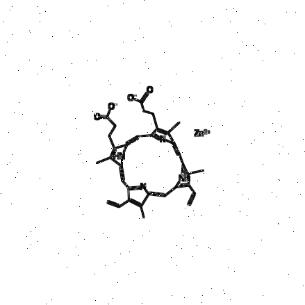 C=CC1=C(C)c2cc3[nH]c(cc4nc(cc5[nH]c(cc1n2)c(C)c5CCC(=O)[O-])C(CCC(=O)[O-])=C4C)c(C)c3C=C.[Zn+2]